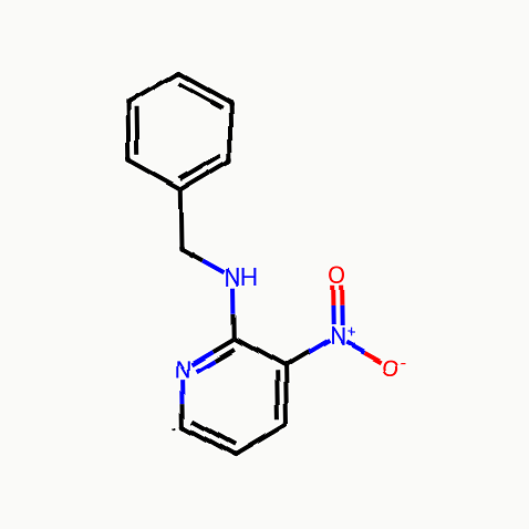 O=[N+]([O-])c1cc[c]nc1NCc1ccccc1